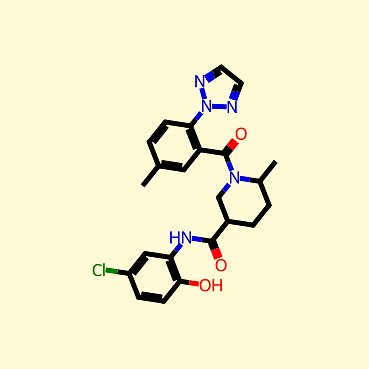 Cc1ccc(-n2nccn2)c(C(=O)N2CC(C(=O)Nc3cc(Cl)ccc3O)CCC2C)c1